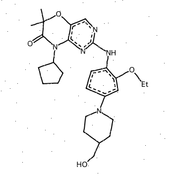 CCOc1cc(N2CCC(CO)CC2)ccc1Nc1ncc2c(n1)N(C1CCCC1)C(=O)C(C)(C)O2